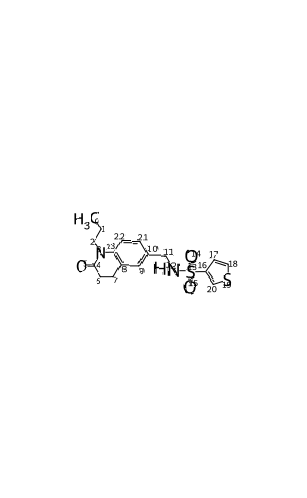 CCCN1C(=O)CCc2cc(CNS(=O)(=O)c3ccsc3)ccc21